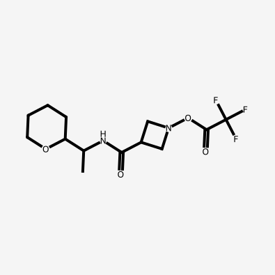 CC(NC(=O)C1CN(OC(=O)C(F)(F)F)C1)C1CCCCO1